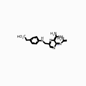 C=C(N)/N=C1/N=CC(CNc2ccc(CC(=O)O)cc2)=NC1=C(N)N